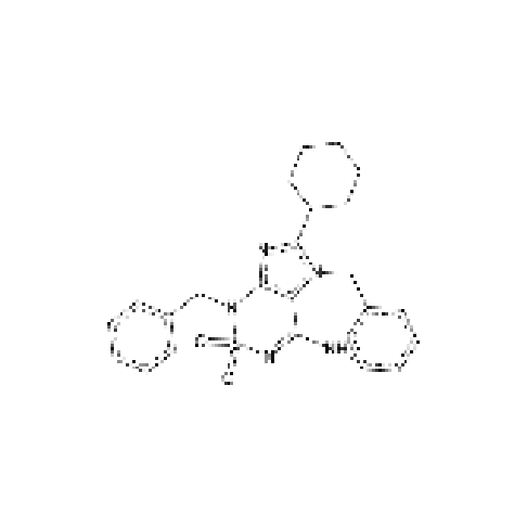 NC1=NS(=O)(=O)N(Cc2ccccc2)c2nc(C3CCCCC3)n(Cc3ccccc3)c21